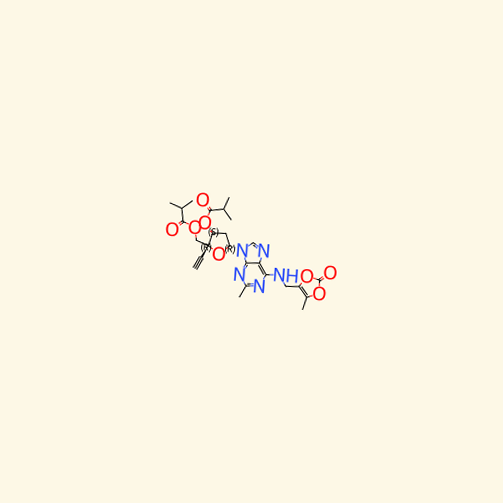 C#C[C@]1(COC(=O)C(C)C)O[C@@H](n2cnc3c(NCc4oc(=O)oc4C)nc(C)nc32)C[C@@H]1OC(=O)C(C)C